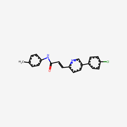 [CH2]c1ccc(NC(=O)/C=C/c2ccc(-c3ccc(Cl)cc3)cn2)cc1